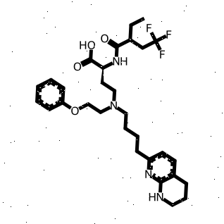 CCC(CC(F)(F)F)C(=O)N[C@@H](CCN(CCCCc1ccc2c(n1)NCCC2)CCOc1ccccc1)C(=O)O